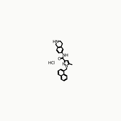 Cc1cc(C(=O)Nc2ccc3c(c2)CCNC3)nn1Cc1cccc2ccccc12.Cl